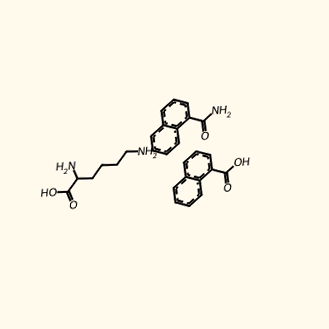 NC(=O)c1cccc2ccccc12.NCCCCC(N)C(=O)O.O=C(O)c1cccc2ccccc12